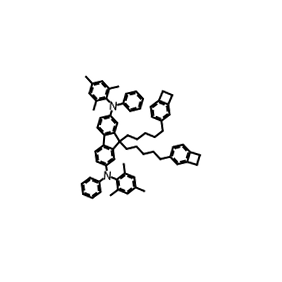 Cc1cc(C)c(N(c2ccccc2)c2ccc3c(c2)C(CCCCCc2ccc4c(c2)CC4)(CCCCCc2ccc4c(c2)CC4)c2cc(N(c4ccccc4)c4c(C)cc(C)cc4C)ccc2-3)c(C)c1